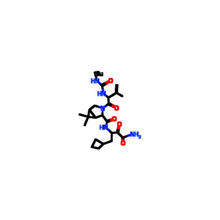 C=C(C)C(NC(=O)NC(C)(C)C)C(=O)N1CC2C(C1C(=O)NC(CC1CCC1)C(=O)C(N)=O)C2(C)C